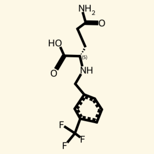 NC(=O)CC[C@H](NCc1cccc(C(F)(F)F)c1)C(=O)O